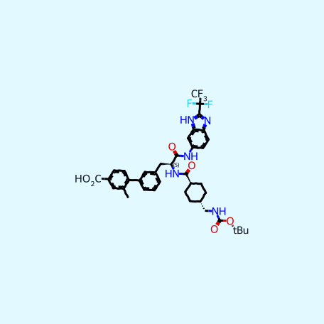 Cc1cc(C(=O)O)ccc1-c1cccc(C[C@H](NC(=O)[C@H]2CC[C@H](CNC(=O)OC(C)(C)C)CC2)C(=O)Nc2ccc3nc(C(F)(F)C(F)(F)F)[nH]c3c2)c1